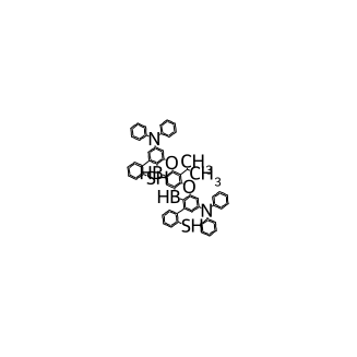 CC(C)c1c2c(cc3c1Oc1cc(N(c4ccccc4)c4ccccc4)cc(-c4ccccc4S)c1B3)Bc1c(cc(N(c3ccccc3)c3ccccc3)cc1-c1ccccc1S)O2